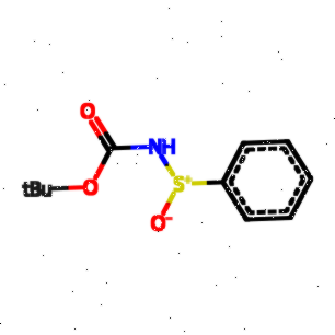 CC(C)(C)OC(=O)N[S+]([O-])c1ccccc1